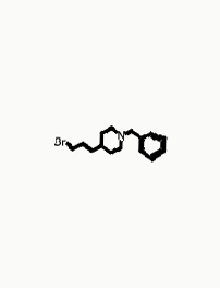 BrCCCC1CCN(Cc2ccccc2)CC1